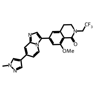 COc1cc(-c2cnc3cc(-c4cnn(C)c4)ccn23)cc2c1C(=O)N(CC(F)(F)F)CC2